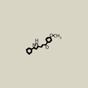 COc1ccc(C(=O)C=Cc2cc(-c3ccccc3)n[nH]2)cc1